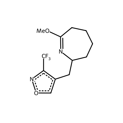 COC1=NC(Cc2conc2C(F)(F)F)CCCC1